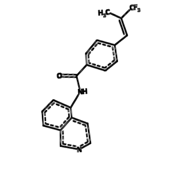 C/C(=C\c1ccc(C(=O)Nc2cccc3cnccc23)cc1)C(F)(F)F